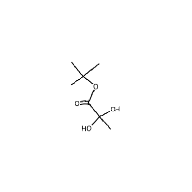 CC(C)(C)OC(=O)C(C)(O)O